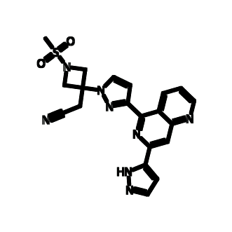 CS(=O)(=O)N1CC(CC#N)(n2ccc(-c3nc(-c4ccn[nH]4)cc4ncccc34)n2)C1